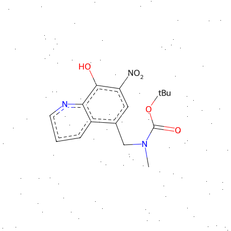 CN(Cc1cc([N+](=O)[O-])c(O)c2ncccc12)C(=O)OC(C)(C)C